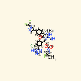 CC(C)(C)C[C@]1(c2ccc(-c3cnn(C(F)F)c3)cc2)NC(=N)N([C@H](COC(=O)N2CC(C)(F)C2)c2ccc(Cl)c(-c3ncn[nH]3)c2)C1=O